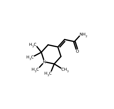 CN1C(C)(C)CC(=CC(N)=O)CC1(C)C